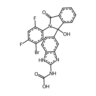 O=C(O)Nc1nc2cc(C3(O)c4ccccc4C(=O)N3c3cc(Br)c(F)cc3F)ccc2[nH]1